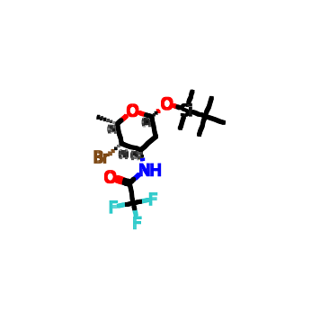 C[C@@H]1O[C@H](O[Si](C)(C)C(C)(C)C)C[C@H](NC(=O)C(F)(F)F)[C@@H]1Br